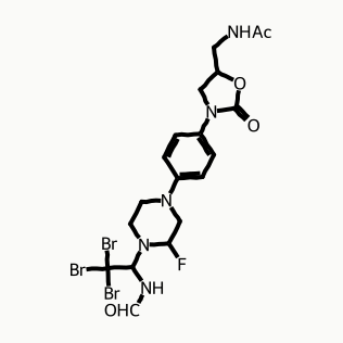 CC(=O)NCC1CN(c2ccc(N3CCN(C(NC=O)C(Br)(Br)Br)C(F)C3)cc2)C(=O)O1